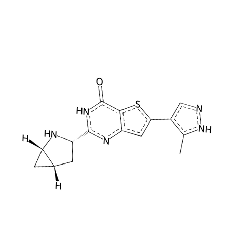 Cc1[nH]ncc1-c1cc2nc([C@@H]3C[C@@H]4C[C@@H]4N3)[nH]c(=O)c2s1